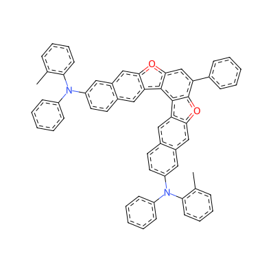 Cc1ccccc1N(c1ccccc1)c1ccc2cc3c(cc2c1)oc1cc(-c2ccccc2)c2oc4cc5cc(N(c6ccccc6)c6ccccc6C)ccc5cc4c2c13